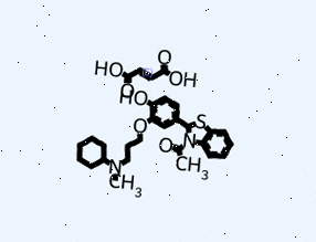 CC(=O)N1c2ccccc2SC1c1ccc(O)c(OCCCN(C)C2CCCCC2)c1.O=C(O)/C=C/C(=O)O